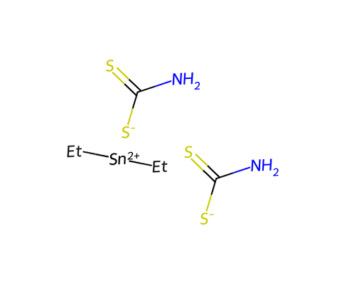 C[CH2][Sn+2][CH2]C.NC(=S)[S-].NC(=S)[S-]